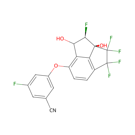 N#Cc1cc(F)cc(Oc2ccc3c4c2C(O)[C@@H](F)[C@]4(O)C(F)(F)C3(F)F)c1